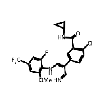 COc1cc(C(F)(F)F)cc(F)c1N/C=C(\C=N)c1ccc(Cl)c(C(=O)NC2CC2)c1